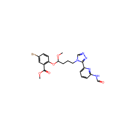 COC(=O)c1cc(Br)ccc1OC(CCCn1cnnc1-c1cccc(NC=O)n1)OC